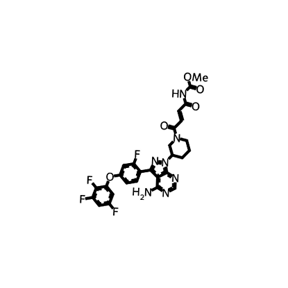 COC(=O)NC(=O)C=CC(=O)N1CCCC(n2nc(-c3ccc(Oc4cc(F)cc(F)c4F)cc3F)c3c(N)ncnc32)C1